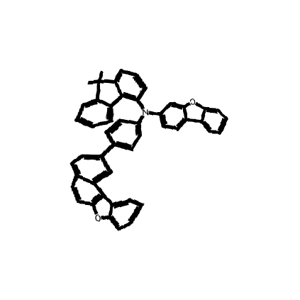 CC1(C)c2ccccc2-c2c(N(c3ccc(-c4ccc5ccc6oc7ccccc7c6c5c4)cc3)c3ccc4c(c3)oc3ccccc34)cccc21